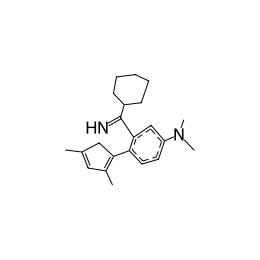 CC1=CC(C)=C(c2ccc(N(C)C)cc2C(=N)C2CCCCC2)C1